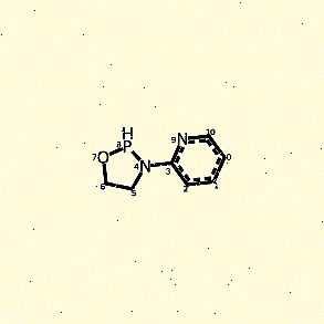 c1ccc(N2CCOP2)nc1